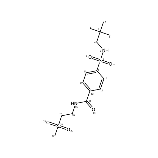 CC(C)(C)CNS(=O)(=O)c1ccc(C(=O)NCCS(C)(=O)=O)cc1